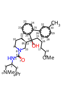 CNCC(CC(C)C)NC(=O)N1CCC[C@@H]([C@@](O)(CCCCOC)c2ccccc2-c2cccc(C)c2)C1